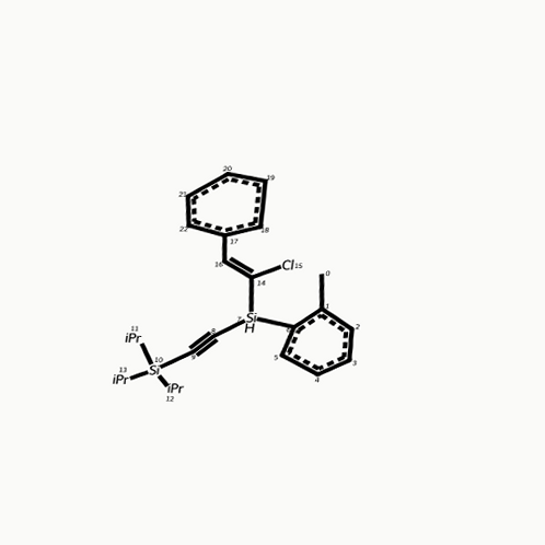 Cc1ccccc1[SiH](C#C[Si](C(C)C)(C(C)C)C(C)C)C(Cl)=Cc1ccccc1